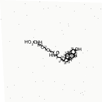 C[C@H](CCC(=O)NCCOCCOCCNC(=O)O)[C@H]1CC[C@H]2[C@@H]3CC[C@@H]4C[C@H](O)CC[C@]4(C)[C@H]3CC[C@]12C